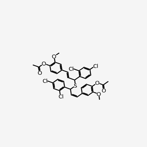 COc1cc(C=CC(SC(/C=C\c2ccc(OC(C)=O)c(OC)c2)c2ccc(Cl)cc2Cl)c2ccc(Cl)cc2Cl)ccc1OC(C)=O